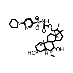 CC[C@H]1[C@@H](O)C2C3CCC(C)([C@H](C)COC(=O)NS(=O)(=O)c4ccc(N5CCCCC5)nc4)[C@@]3(C)CCC2[C@@]2(C)CC[C@@H](O)C[C@@H]12